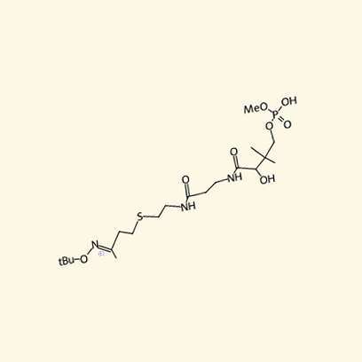 COP(=O)(O)OCC(C)(C)C(O)C(=O)NCCC(=O)NCCSCC/C(C)=N/OC(C)(C)C